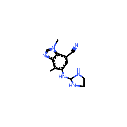 Cc1c(NC2NCCN2)cc(C#N)c2c1ncn2C